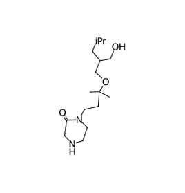 CC(C)CC(CO)COC(C)(C)CCN1CCNCC1=O